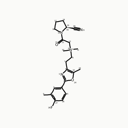 Cc1cc(-c2nc(CC[N+](C)(C)CC(=O)N3CCC[C@H]3C#N)c(C)o2)ccc1F